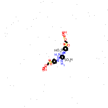 Nc1c(/N=N/c2ccc(S(=O)(=O)CCOSOOO)cc2S(=O)(=O)O)cc(S(=O)(=O)O)c(N)c1/N=N/c1ccc(S(=O)(=O)CCOOOO)cc1